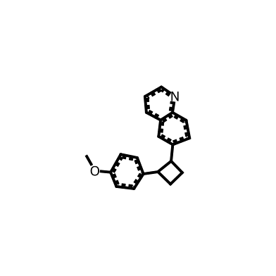 COc1ccc(C2CCC2c2ccc3ncccc3c2)cc1